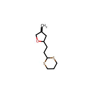 C=C1COC(CCC2SCCCS2)C1